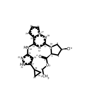 CCOC(=O)[C@@H]1C[C@H](Cl)CN1c1nc(Nc2cc(C3CC3)[nH]n2)c2cccn2n1